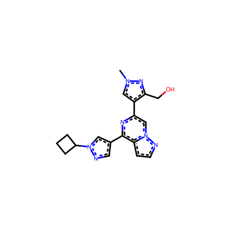 Cn1cc(-c2cn3nccc3c(-c3cnn(C4CCC4)c3)n2)c(CO)n1